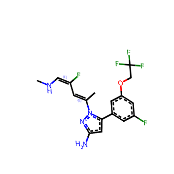 CN/C=C(F)\C=C(/C)n1nc(N)cc1-c1cc(F)cc(OCC(F)(F)F)c1